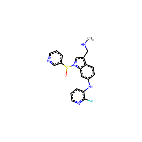 CNCc1cn([S+]([O-])c2cccnc2)c2cc(Nc3cccnc3F)ccc12